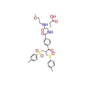 COCCNC(=O)[C@H](CCC(=O)O)NC(=O)c1ccc(C(=O)C(C[S+]([O-])c2ccc(C)cc2)CS(=O)(=O)c2ccc(C)cc2)cc1